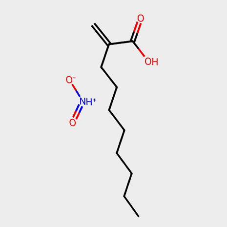 C=C(CCCCCCCC)C(=O)O.O=[NH+][O-]